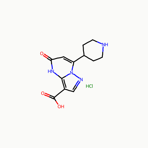 Cl.O=C(O)c1cnn2c(C3CCNCC3)cc(=O)[nH]c12